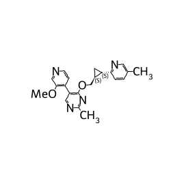 COc1cnccc1-c1cnc(C)nc1OC[C@H]1C[C@@H]1c1ccc(C)cn1